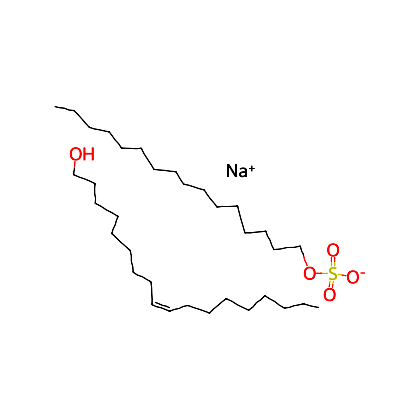 CCCCCCCC/C=C\CCCCCCCCO.CCCCCCCCCCCCCCCCOS(=O)(=O)[O-].[Na+]